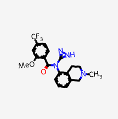 COc1cc(C(F)(F)F)ccc1C(=O)N(C1=NN1)c1cccc2c1CCN(C)C2